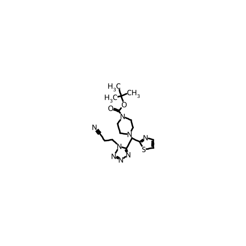 CC(C)(C)OC(=O)N1CCN(C(c2nccs2)c2nnnn2CCC#N)CC1